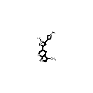 CC(=O)N1CC(c2cc(-c3cnc4[nH]cc(C)c4c3)nn2C(C)C)C1